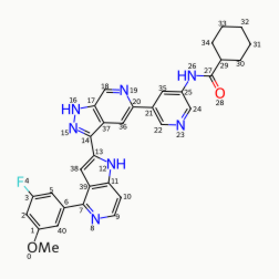 COc1cc(F)cc(-c2nccc3[nH]c(-c4n[nH]c5cnc(-c6cncc(NC(=O)C7CCCCC7)c6)cc45)cc23)c1